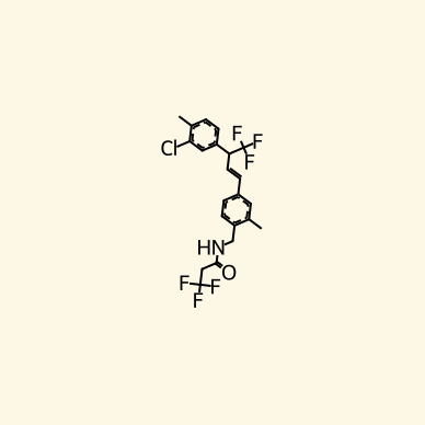 Cc1ccc(C(/C=C/c2ccc(CNC(=O)CC(F)(F)F)c(C)c2)C(F)(F)F)cc1Cl